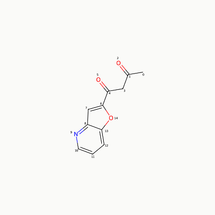 CC(=O)CC(=O)c1cc2ncccc2o1